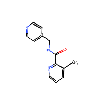 Cc1cccnc1C(=O)NCc1ccncc1